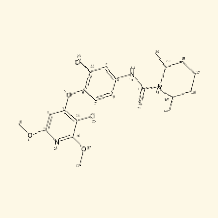 COc1cc(Oc2ccc(NC(=S)N3C(C)CCCC3C)cc2Cl)c(Cl)c(OC)n1